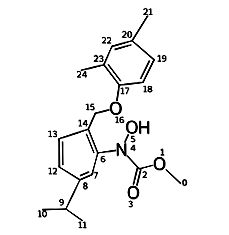 COC(=O)N(O)c1cc(C(C)C)ccc1COc1ccc(C)cc1C